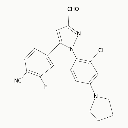 N#Cc1ccc(-c2cc(C=O)nn2-c2ccc(N3CCCC3)cc2Cl)cc1F